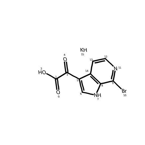 O=C(O)C(=O)c1c[nH]c2c(Br)nccc12.[KH]